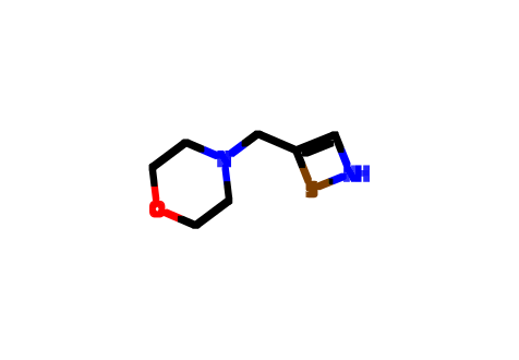 c1[nH]sc1CN1CCOCC1